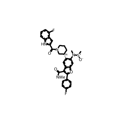 CNC(=O)c1c(-c2ccc(F)cc2)oc2cc(N(C)[S+](C)[O-])c([C@H]3CCCN(C(=O)c4cc5c(F)cccc5[nH]4)C3)cc12